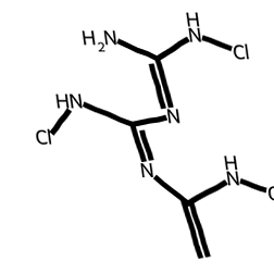 C=C(/N=C(\N=C(/N)NCl)NCl)NCl